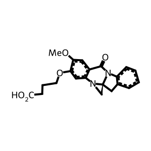 COc1cc2c(cc1OCCCC(=O)O)N1C[C@@]13Cc1ccccc1N3C2=O